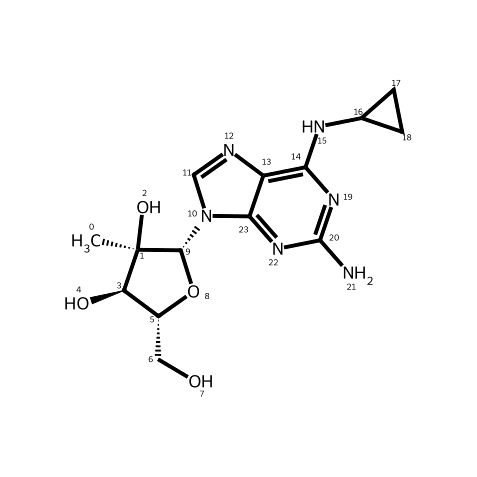 C[C@@]1(O)[C@H](O)[C@@H](CO)O[C@H]1n1cnc2c(NC3CC3)nc(N)nc21